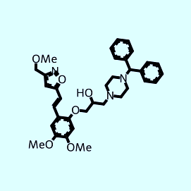 COCc1cc(/C=C/c2cc(OC)c(OC)cc2OCC(O)CN2CCN(C(c3ccccc3)c3ccccc3)CC2)on1